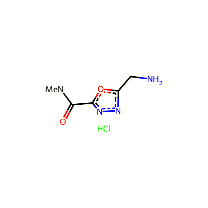 CNC(=O)c1nnc(CN)o1.Cl